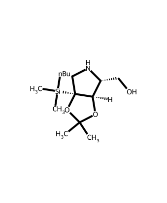 CCCC[Si](C)(C)[C@]12CN[C@H](CO)[C@H]1OC(C)(C)O2